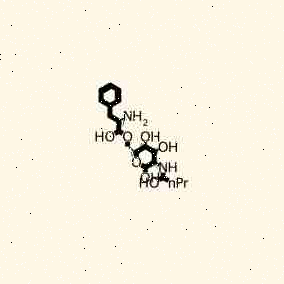 CCCC(O)N[C@H]1C(O)O[C@H](COC(O)[C@@H](N)CC2C=CC=CC2)[C@@H](O)[C@@H]1O